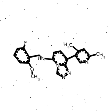 COc1cccc(F)c1CNc1ccc(-c2cnc(C)cc2C)c2nncn12